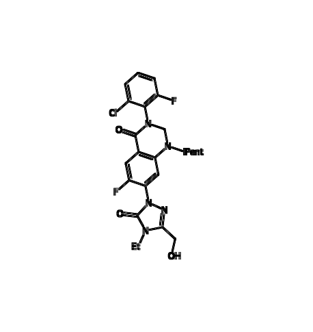 CCCC(C)N1CN(c2c(F)cccc2Cl)C(=O)c2cc(F)c(-n3nc(CO)n(CC)c3=O)cc21